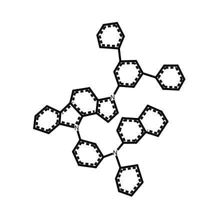 c1ccc(-c2cc(-c3ccccc3)cc(-n3ccc4c3ccc3c5ccccc5n(-c5cccc(N(c6ccccc6)c6ccc7ccccc7c6)c5)c34)c2)cc1